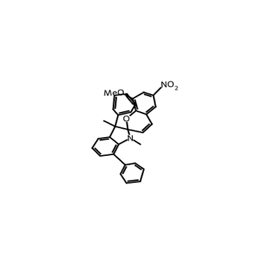 COc1cc([N+](=O)[O-])cc2c1OC1(C=C2)N(C)c2c(-c3ccccc3)cccc2C1(C)c1ccccc1